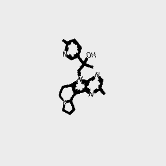 Cc1ccc(C(C)(O)Cn2c3c(c4nc(C)cnc42)C2CCCN2CC3)cn1